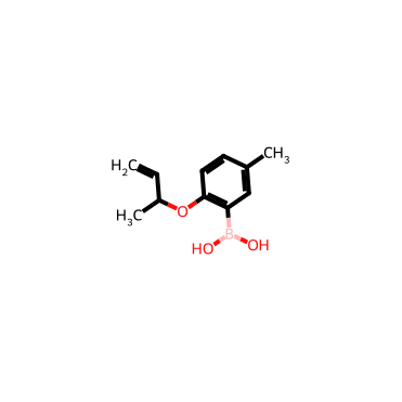 C=CC(C)Oc1ccc(C)cc1B(O)O